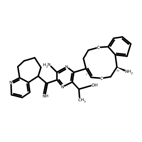 CC(O)c1nc(C(=N)C2CCCCc3ncccc32)c(N)nc1/C1=C/CC[C@H](N)c2ccccc2CCC1